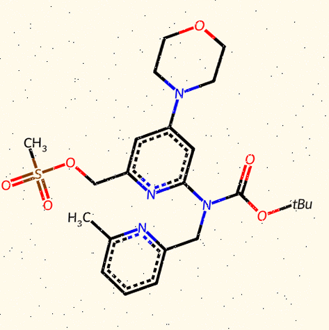 Cc1cccc(CN(C(=O)OC(C)(C)C)c2cc(N3CCOCC3)cc(COS(C)(=O)=O)n2)n1